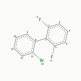 Fc1cccc(F)c1-c1ccc[c]c1Br